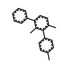 Cc1ccc(-c2c(C)[c]cc(-c3ccccc3)c2C)cc1